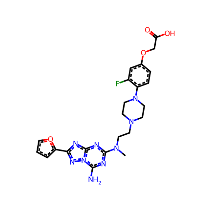 CN(CCN1CCN(c2ccc(OCC(=O)O)cc2F)CC1)c1nc(N)n2nc(-c3ccco3)nc2n1